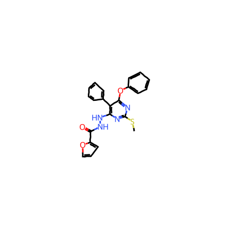 CSc1nc(NNC(=O)c2ccco2)c(-c2ccccc2)c(Oc2ccccc2)n1